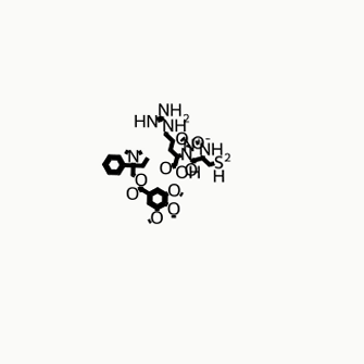 CCC(COC(=O)c1cc(OC)c(OC)c(OC)c1)(c1ccccc1)N(C)C.N=C(N)NCCCC(C(=O)O)N(C(=O)C(N)CS)[N+](=O)[O-]